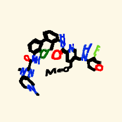 COCc1cc(C(=O)Nc2cccc(-c3cccc(NC(=O)c4nc5c(n4C)CCN(C)C5)c3Cl)c2C)ncc1CN[C@H]1CCOC[C@H]1F